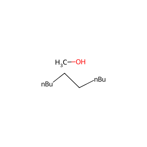 CCCCCCCCCC.CO